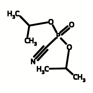 CC(C)OP(=O)(C#N)OC(C)C